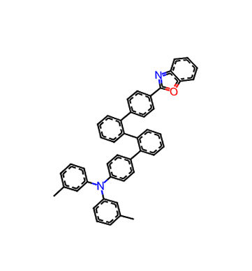 Cc1cccc(N(c2ccc(-c3ccccc3-c3ccccc3-c3ccc(-c4nc5ccccc5o4)cc3)cc2)c2cccc(C)c2)c1